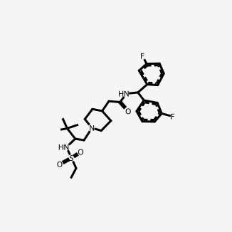 CCS(=O)(=O)NC(CN1CCC(CC(=O)NC(c2cccc(F)c2)c2cccc(F)c2)CC1)C(C)(C)C